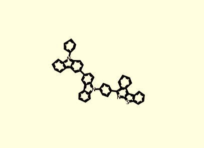 c1ccc(-n2c3ccccc3c3cc(-c4ccc5c(c4)c4ccccc4n5-c4ccc(-c5nc6sc7ccccc7c6c6ccccc56)cc4)ccc32)cc1